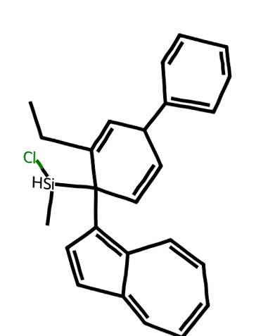 CCC1=CC(c2ccccc2)C=CC1(c1ccc2cccccc1-2)[SiH](C)Cl